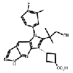 Cc1cc(-n2c(C(C)(C)CC#N)c([C@H]3C[C@H](C(=O)O)C3)c3nc4[nH]ncc4cc32)ccc1F